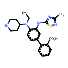 CC(C)CN(c1ccc(-c2ccccc2C(=O)O)cc1Nc1nc(C(F)(F)F)ns1)C1CCNCC1